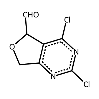 O=CC1OCc2nc(Cl)nc(Cl)c21